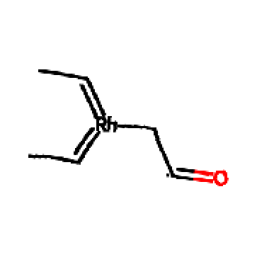 C/[CH]=[Rh](=[CH]\C)/[CH2][C]=O